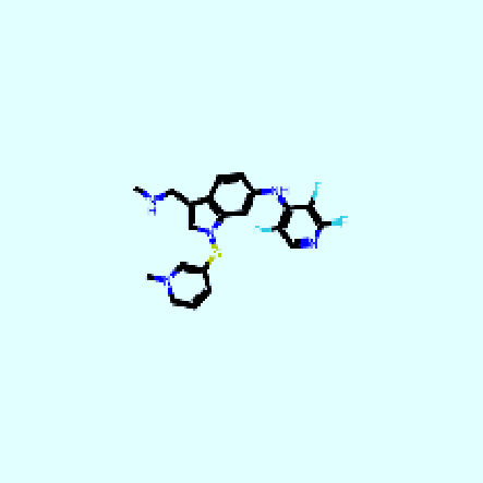 CNCc1cn(SC2=CN(C)CC=C2)c2cc(Nc3c(F)cnc(F)c3F)ccc12